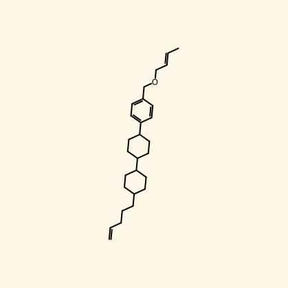 C=CCCCC1CCC(C2CCC(c3ccc(COCC=CC)cc3)CC2)CC1